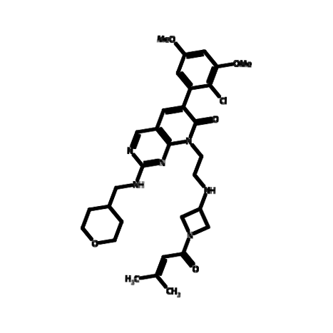 COc1cc(OC)c(Cl)c(-c2cc3cnc(NCC4CCOCC4)nc3n(CCNC3CN(C(=O)C=C(C)C)C3)c2=O)c1